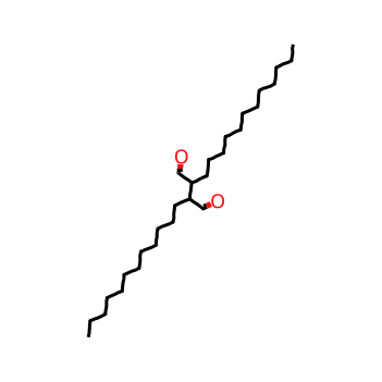 CCCCCCCCCCCCC(C=O)C(C=O)CCCCCCCCCCCC